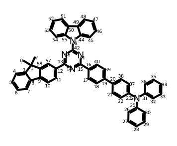 CC1(C)c2ccccc2-c2ccc(-c3nc(-c4ccc(-c5ccc(N(c6ccccc6)c6ccccc6)cc5)cc4)nc(-n4c5ccccc5c5ccccc54)n3)cc21